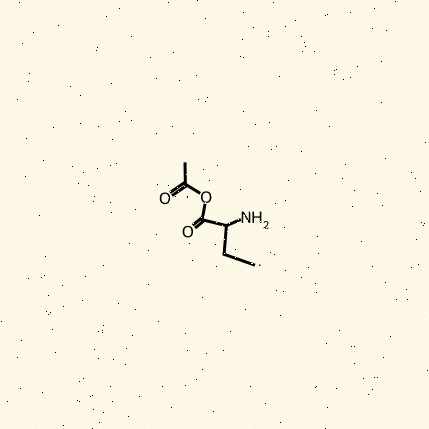 [CH2]CC(N)C(=O)OC(C)=O